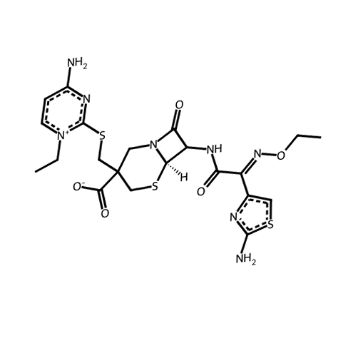 CCON=C(C(=O)NC1C(=O)N2CC(CSc3nc(N)cc[n+]3CC)(C(=O)[O-])CS[C@H]12)c1csc(N)n1